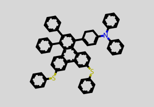 C1=C(c2cc(-c3ccccc3)c(-c3ccccc3)c3c4ccc(Sc5ccccc5)cc4c4cc(Sc5ccccc5)ccc4c23)CCC(N(c2ccccc2)c2ccccc2)=C1